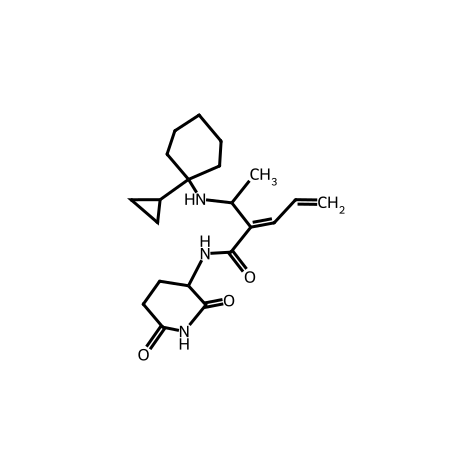 C=C/C=C(/C(=O)NC1CCC(=O)NC1=O)C(C)NC1(C2CC2)CCCCC1